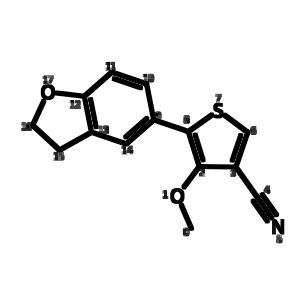 COc1c(C#N)csc1-c1ccc2c(c1)CCO2